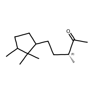 CC(=O)[C@H](C)CCC1CCC(C)C1(C)C